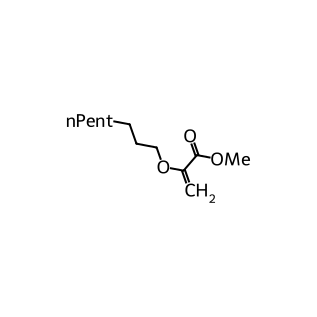 C=C(OCCCCCCCC)C(=O)OC